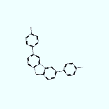 Cc1ccc(-c2ccc3c(c2)-c2cc(-c4ccc(C)cc4)ccc2C3)cc1